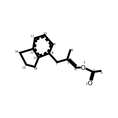 CC(=O)O/C=C(\C)Cc1cccc2c1CCC2